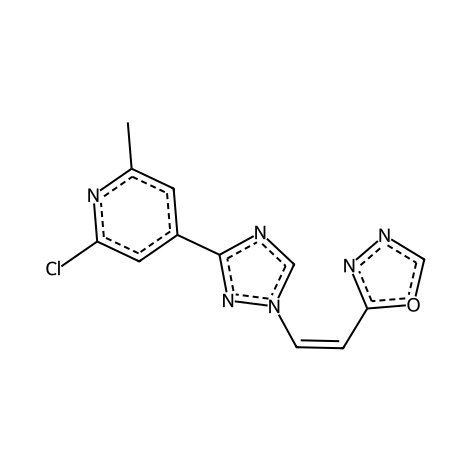 Cc1cc(-c2ncn(/C=C\c3nnco3)n2)cc(Cl)n1